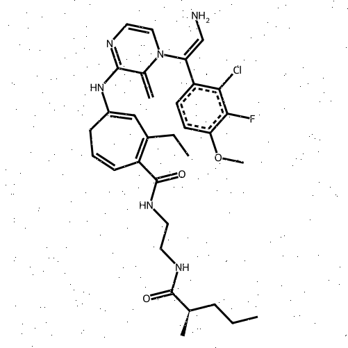 C=C1C(NC2=CC(CC)=C(C(=O)NCCNC(=O)[C@H](C)CCC)C=CC2)=NC=CN1/C(=C\N)c1ccc(OC)c(F)c1Cl